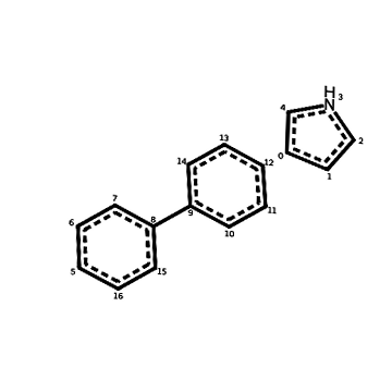 c1cc[nH]c1.c1ccc(-c2ccccc2)cc1